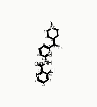 CN1CCC(=C(F)c2cccc(NC(=O)c3ncccc3Cl)n2)CC1